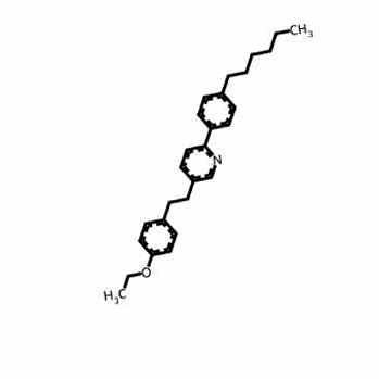 CCCCCCc1ccc(-c2ccc(CCc3ccc(OCC)cc3)cn2)cc1